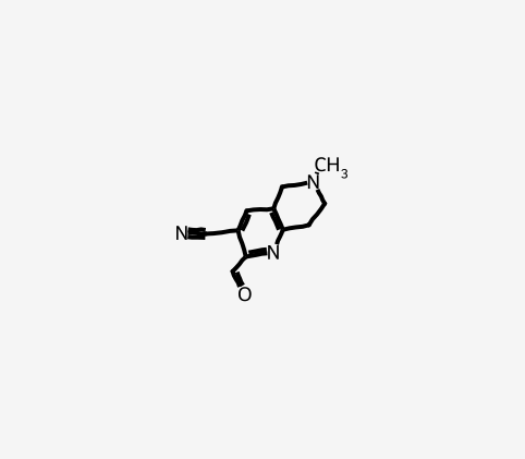 CN1CCc2nc(C=O)c(C#N)cc2C1